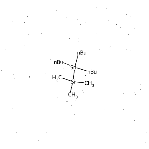 CCC[CH2][Sn]([CH2]CCC)([CH2]CCC)[Si](C)(C)C